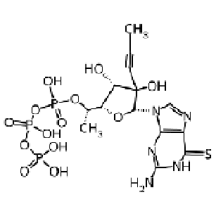 CC#CC1(O)[C@@H](O)[C@@H]([C@H](C)OP(=O)(O)OP(=O)(O)OP(=O)(O)O)O[C@H]1n1cnc2c(=S)[nH]c(N)nc21